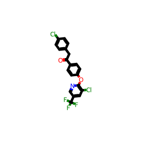 O=C(Cc1ccc(Cl)cc1)c1ccc(Oc2ncc(C(F)(F)F)cc2Cl)cc1